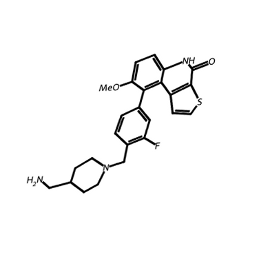 COc1ccc2[nH]c(=O)c3sccc3c2c1-c1ccc(CN2CCC(CN)CC2)c(F)c1